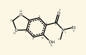 CCN(C)C(=O)c1cc2c(cc1O)OCO2